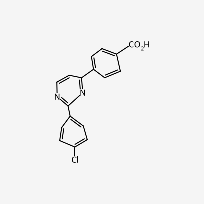 O=C(O)c1ccc(-c2ccnc(-c3ccc(Cl)cc3)n2)cc1